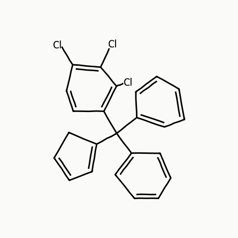 Clc1ccc(C(C2=CC=CC2)(c2ccccc2)c2ccccc2)c(Cl)c1Cl